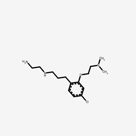 CN(C)CCOc1cc(Cl)ccc1CCCNCCN